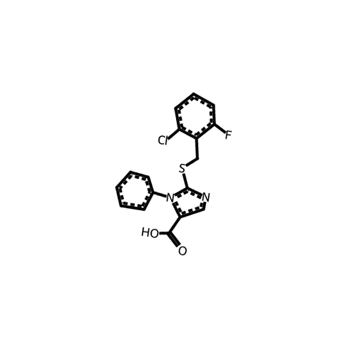 O=C(O)c1cnc(SCc2c(F)cccc2Cl)n1-c1ccccc1